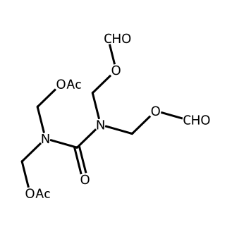 CC(=O)OCN(COC(C)=O)C(=O)N(COC=O)COC=O